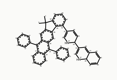 CC1(C)c2cc3c(-c4ccccc4)c4ccccc4c(-c4ccccc4)c3cc2-c2c(C3=CNC(C4=CNC5C=CC=CC5=C4)C=C3)cccc21